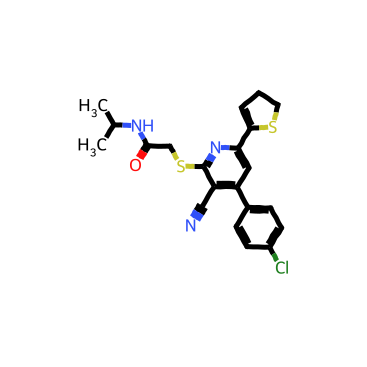 CC(C)NC(=O)CSc1nc(C2=CCCS2)cc(-c2ccc(Cl)cc2)c1C#N